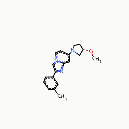 CO[C@H]1CCN(c2ccn3cc(-c4cccc(C)c4)nc3c2)C1